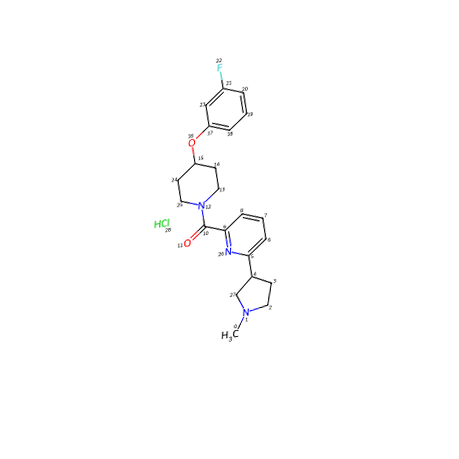 CN1CCC(c2cccc(C(=O)N3CCC(Oc4cccc(F)c4)CC3)n2)C1.Cl